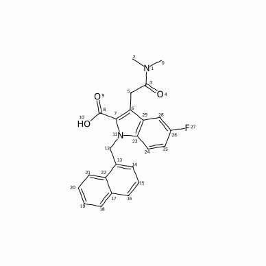 CN(C)C(=O)Cc1c(C(=O)O)n(Cc2cccc3ccccc23)c2ccc(F)cc12